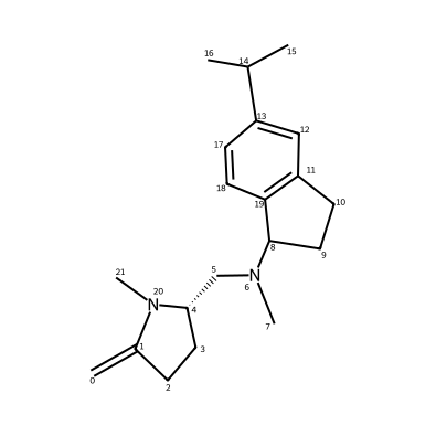 C=C1CC[C@@H](CN(C)C2CCc3cc(C(C)C)ccc32)N1C